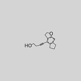 OCCC#Cc1c2c(cc3c1CCO3)CCC2